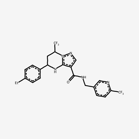 CCc1ccc(C2CC(C(F)(F)F)n3ncc(C(=O)NCc4ccc(C(F)(F)F)nc4)c3N2)cc1